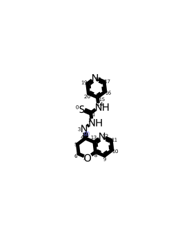 S=C(N/N=C1/CCOc2cccnc21)Nc1ccncc1